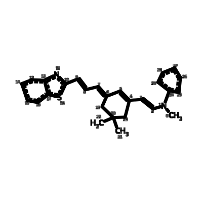 CN(/C=C/C1=CC(=C/C=C/c2nc3ccccc3s2)/CC(C)(C)C1)c1ccccc1